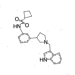 O=S(=O)(Nc1cccc(C2CCN(Cc3c[nH]c4ccccc34)C2)c1)C1CCC1